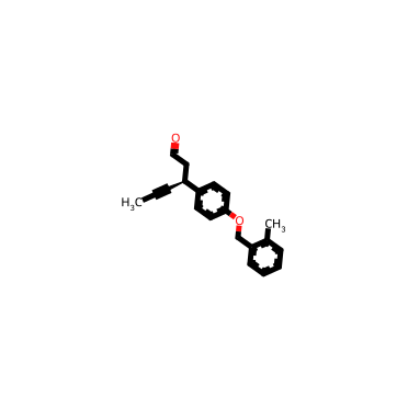 CC#C[C@@H](CC=O)c1ccc(OCc2ccccc2C)cc1